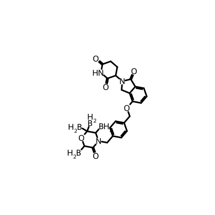 BC1OC(B)(B)C(B)N(Cc2ccc(COc3cccc4c3CN(C3CCC(=O)NC3=O)C4=O)cc2)C1=O